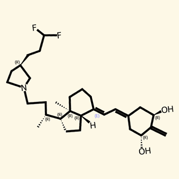 C=C1[C@H](O)CC(=C/C=C2\CCC[C@]3(C)[C@@H]([C@H](C)CCN4CC[C@@H](CCC(F)F)C4)CC[C@@H]23)C[C@H]1O